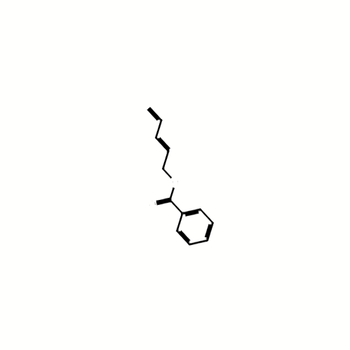 C=CC=CCOC(=O)c1ccccc1